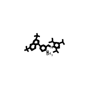 BOc1ccc(-c2cc(C(C)(C)C)cc3cc(C(C)(C)C)ccc23)cc1/C=N/c1c(C(C)C)cc(C(C)C)cc1C(C)C